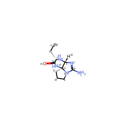 CC(C)C[C@@H]1N[C@@H]2N=C(N)N3CCC[C@]23NC1=O